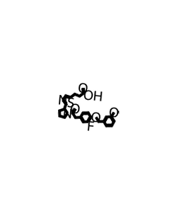 COc1cccc(COc2ccc(CC(=O)N3CCCC3c3ncc(CCC(=O)O)s3)cc2F)c1